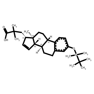 CC(C)(C[C@H]1C=C[C@H]2[C@@H]3CCc4cc(O[Si](C)(C)C(C)(C)C)ccc4[C@H]3CC[C@]12C)C(=O)O